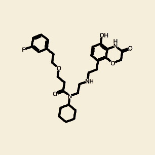 O=C1COc2c(CCNCCN(C(=O)CCOCCc3cccc(F)c3)C3CCCCC3)ccc(O)c2N1